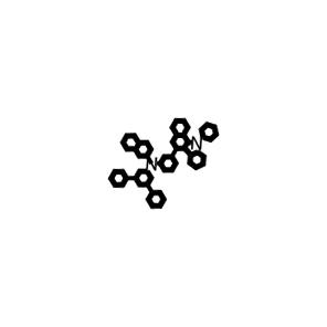 c1ccc(-c2cc(-c3ccccc3)cc(N(c3cccc(-c4cc5ccccc5c5c4c4ccccc4n5-c4ccccc4)c3)c3ccc4ccccc4c3)c2)cc1